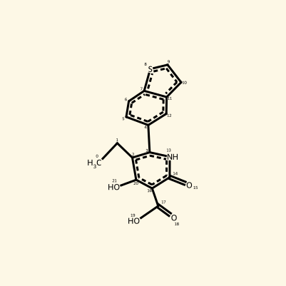 CCc1c(-c2ccc3sccc3c2)[nH]c(=O)c(C(=O)O)c1O